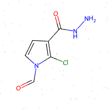 NNC(=O)c1ccn(C=O)c1Cl